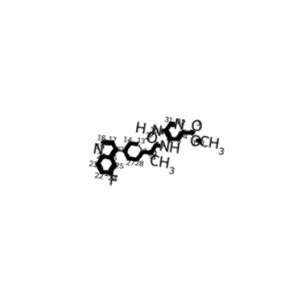 COC(=O)c1cc(NC(=O)[C@H](C)[C@H]2CC[C@@H](c3ccnc4ccc(F)cc43)CC2)c(N)cn1